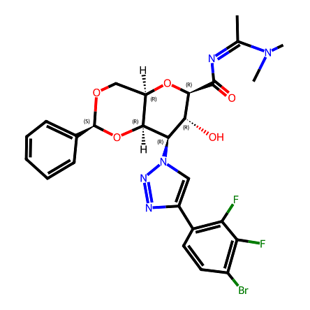 CC(=NC(=O)[C@@H]1O[C@@H]2CO[C@H](c3ccccc3)O[C@@H]2[C@H](n2cc(-c3ccc(Br)c(F)c3F)nn2)[C@H]1O)N(C)C